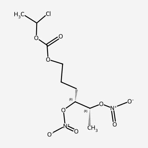 CC(Cl)OC(=O)OCCC[C@@H](O[N+](=O)[O-])[C@@H](C)O[N+](=O)[O-]